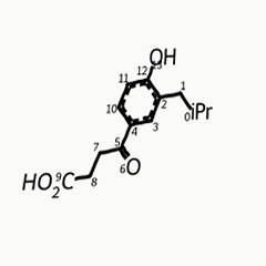 CC(C)Cc1cc(C(=O)CCC(=O)O)ccc1O